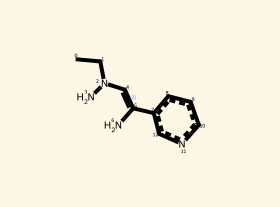 CCN(N)/C=C(\N)c1cccnc1